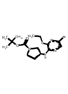 CCOc1nc(Br)cnc1NC1CCN(C(=O)OC(C)(C)C)C1